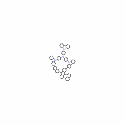 c1ccc2cc(-c3c4ccccc4c(-c4cccc5ccccc45)c4cc(-c5ccc6c7ccccc7n(-c7ccc(N(c8ccc(-n9c%10ccccc%10c%10ccccc%109)cc8)c8ccc(-n9c%10ccccc%10c%10ccccc%109)cc8)cc7)c6c5)ccc34)ccc2c1